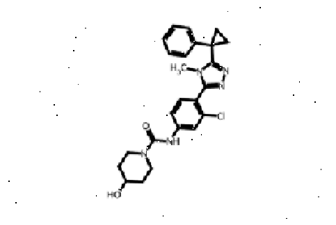 Cn1c(-c2ccc(NC(=O)N3CCC(O)CC3)cc2Cl)nnc1C1(c2ccccc2)CC1